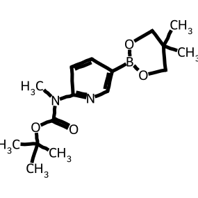 CN(C(=O)OC(C)(C)C)c1ccc(B2OCC(C)(C)CO2)cn1